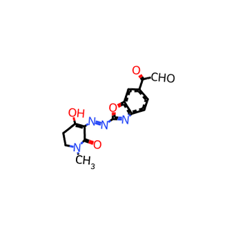 CN1CCC(O)=C(N=Nc2nc3ccc(C(=O)C=O)cc3o2)C1=O